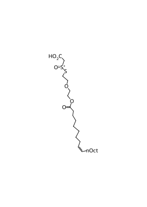 CCCCCCCC/C=C\CCCCCCCC(=O)OCCOCCS[S+]([O-])CC(=O)O